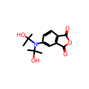 CC(C)(O)N(c1ccc2c(c1)C(=O)OC2=O)C(C)(C)O